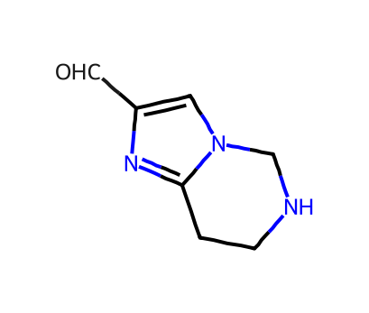 O=Cc1cn2c(n1)CCNC2